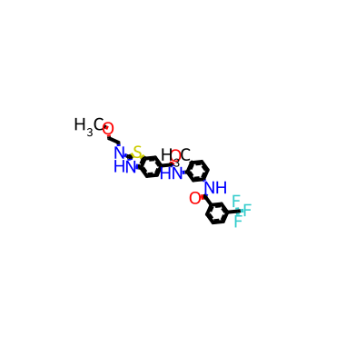 COCCNc1nc2ccc(C(=O)Nc3cc(NC(=O)c4cccc(C(F)(F)F)c4)ccc3C)cc2s1